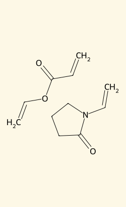 C=CN1CCCC1=O.C=COC(=O)C=C